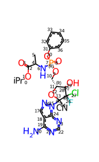 CC(C)OC(=O)C(C)N[P@@](=O)(OC[C@H]1O[C@@](C#N)(n2ncc3c(N)ncnc32)[C@@](F)(Cl)[C@@H]1O)Oc1ccccc1